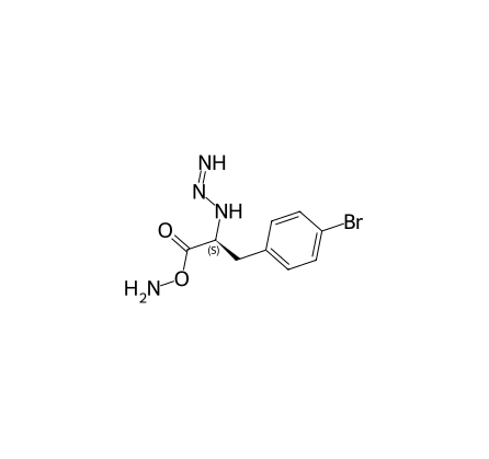 N=NN[C@@H](Cc1ccc(Br)cc1)C(=O)ON